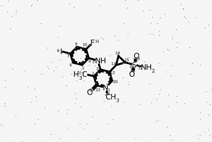 Cc1c(Nc2ccc(I)cc2F)c(C2CC2S(N)(=O)=O)cn(C)c1=O